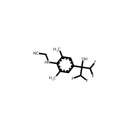 Cc1cc(C(O)(C(F)F)C(F)F)cc(C)c1NCC#N